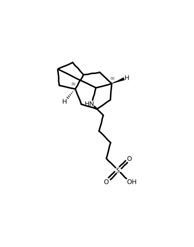 O=S(=O)(O)CCCCNC1C2CC3C[C@@H]1CCC[C@H]3C2